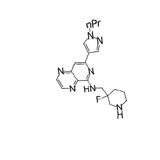 CCCn1cc(-c2cc3nccnc3c(NCC3(F)CCCNC3)n2)cn1